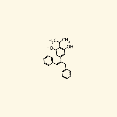 CC(C)c1c(O)cc(/C(=C\c2ccccc2)Cc2ccccc2)cc1O